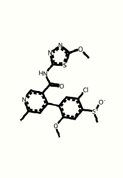 COc1nnc(NC(=O)c2cnc(C)cc2-c2cc(Cl)c([S+](C)[O-])cc2OC)s1